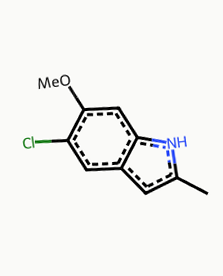 COc1cc2[nH]c(C)cc2cc1Cl